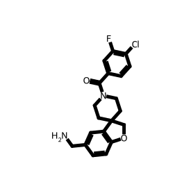 NCc1ccc2c(c1)C1(CCN(C(=O)c3ccc(Cl)c(F)c3)CC1)CO2